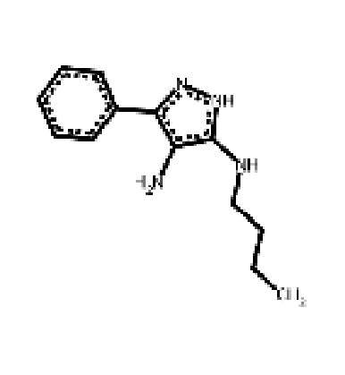 CCCCNc1[nH]nc(-c2ccccc2)c1N